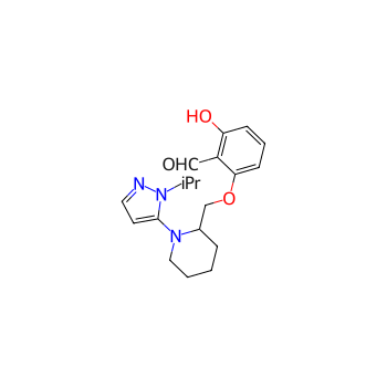 CC(C)n1nccc1N1CCCCC1COc1cccc(O)c1C=O